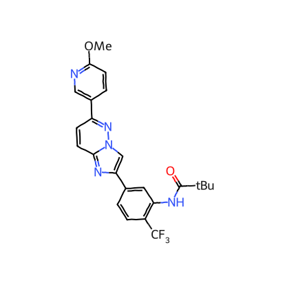 COc1ccc(-c2ccc3nc(-c4ccc(C(F)(F)F)c(NC(=O)C(C)(C)C)c4)cn3n2)cn1